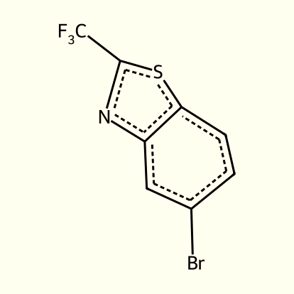 FC(F)(F)c1nc2cc(Br)ccc2s1